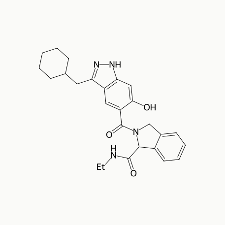 CCNC(=O)C1c2ccccc2CN1C(=O)c1cc2c(CC3CCCCC3)n[nH]c2cc1O